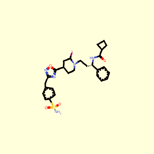 NS(=O)(=O)c1ccc(Cc2noc(C3CCN(CC[C@H](NC(=O)C4CCC4)c4ccccc4)C(I)C3)n2)cc1